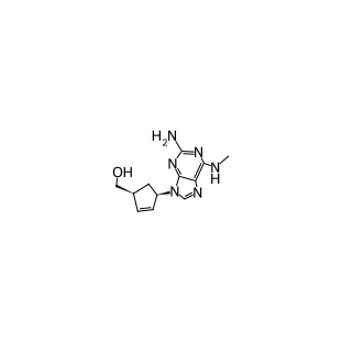 CNc1nc(N)nc2c1ncn2[C@H]1C=C[C@@H](CO)C1